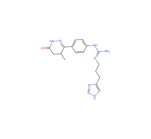 CC1CC(=O)NN=C1c1ccc(NC(N)=NCCCc2c[nH]cn2)cc1